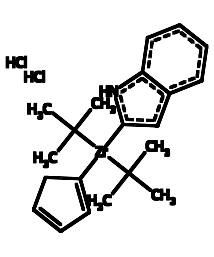 C[C](C)(C)[Zr]([C]1=CC=CC1)([c]1cc2ccccc2[nH]1)[C](C)(C)C.Cl.Cl